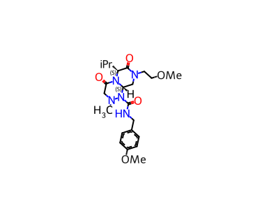 COCCN1C[C@H]2N(C(=O)CN(C)N2C(=O)NCc2ccc(OC)cc2)[C@@H](C(C)C)C1=O